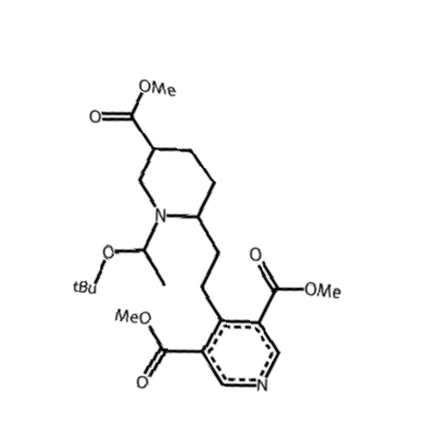 COC(=O)c1cncc(C(=O)OC)c1CCC1CCC(C(=O)OC)CN1C(C)OC(C)(C)C